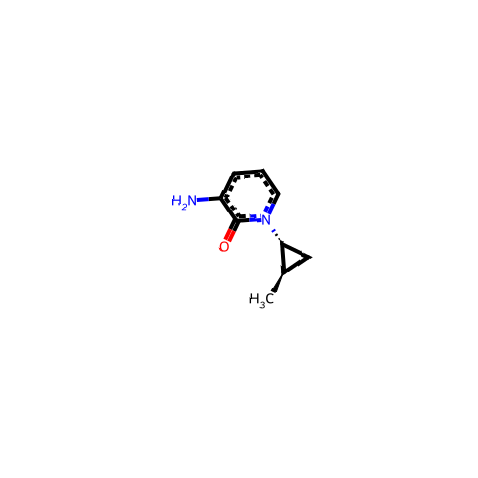 C[C@@H]1C[C@H]1n1cccc(N)c1=O